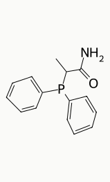 CC(C(N)=O)P(c1ccccc1)c1ccccc1